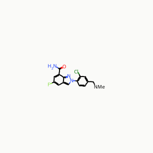 CNCc1ccc(-n2cc3cc(F)cc(C(N)=O)c3n2)c(Cl)c1